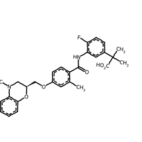 Cc1cc(OC[C@@H]2CN(C)c3ccccc3O2)ccc1C(=O)Nc1cc(C(C)(C)C(=O)O)ccc1F